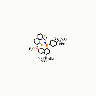 CCCC[Si](CCCC)(CCCC)c1ccc(P(c2ccc([Si](CCCC)(CCCC)CCCC)cc2)N(Cc2ccccc2)P(c2ccccc2OC(F)(F)F)c2ccccc2OC(F)(F)F)cc1